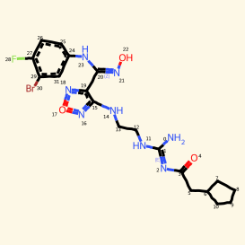 N/C(=N\C(=O)CC1CCCC1)NCCNc1nonc1/C(=N/O)Nc1ccc(F)c(Br)c1